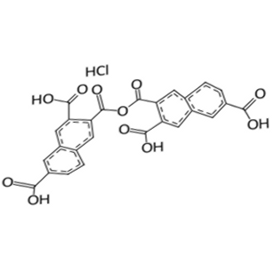 Cl.O=C(O)c1ccc2cc(C(=O)OC(=O)c3cc4ccc(C(=O)O)cc4cc3C(=O)O)c(C(=O)O)cc2c1